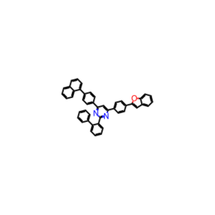 c1ccc(-c2ccccc2-c2nc(-c3ccc(-c4cc5ccccc5o4)cc3)cc(-c3ccc(-c4cccc5ccccc45)cc3)n2)cc1